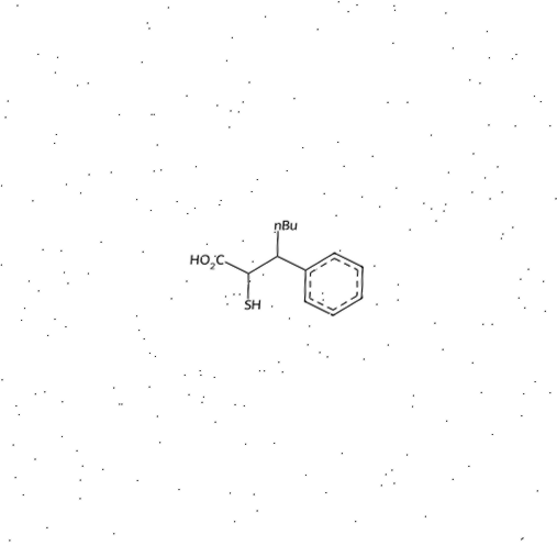 CCCCC(c1ccccc1)C(S)C(=O)O